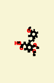 COc1cccc(CCc2c(CC(=O)O)ccc(OC)c2OC)c1